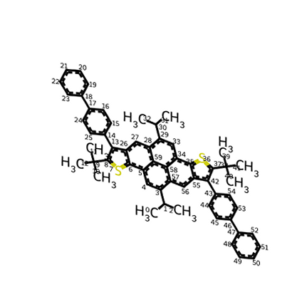 CC(C)c1cc2c3sc(C(C)(C)C)c(-c4ccc(-c5ccccc5)cc4)c3cc3c(C(C)C)cc4c5sc(C(C)(C)C)c(-c6ccc(-c7ccccc7)cc6)c5cc1c4c32